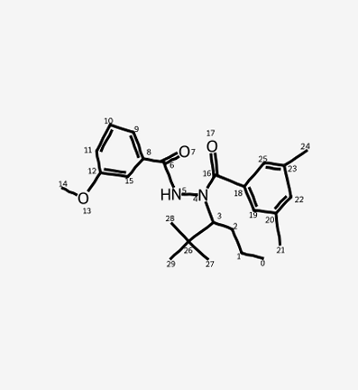 CCCC(N(NC(=O)c1cccc(OC)c1)C(=O)c1cc(C)cc(C)c1)C(C)(C)C